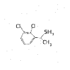 CC([SiH3])c1cccc(Cl)c1Cl